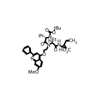 C=CC1C[C@]1(NC(=O)[C@H](CC)N(CCOc1cc(-c2ccccc2)nc2cc(OC)ccc12)C(=O)[C@@H](NC(=O)OC(C)(C)C)C(C)C)C(=O)O